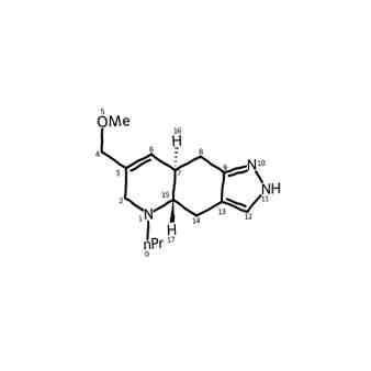 CCCN1CC(COC)=C[C@H]2Cc3n[nH]cc3C[C@@H]21